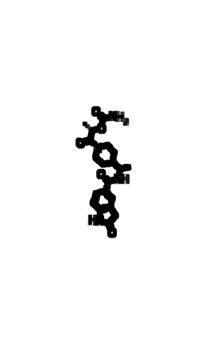 CC(NC(=O)c1ccc2c(c1)CC(=O)N2)C1CCN(C(=O)[C@H](C)OC(N)=O)CC1